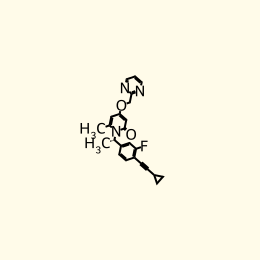 Cc1cc(OCc2ncccn2)cc(=O)n1[C@@H](C)c1ccc(C#CC2CC2)c(F)c1